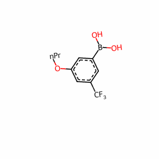 CCCOc1cc(B(O)O)cc(C(F)(F)F)c1